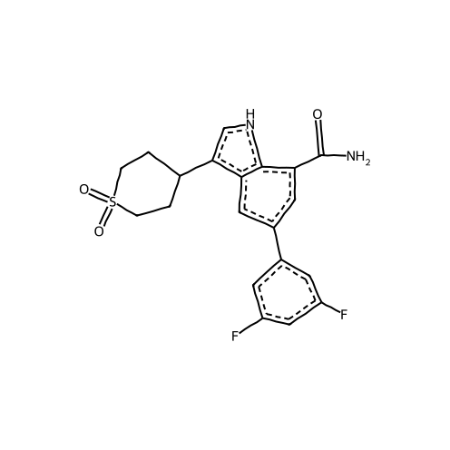 NC(=O)c1cc(-c2cc(F)cc(F)c2)cc2c(C3CCS(=O)(=O)CC3)c[nH]c12